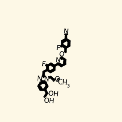 COCCn1c(Cc2ccc(-c3cccc(OCc4ccc(C#N)cc4F)n3)cc2F)nc2ccc([C@H](O)CO)cc21